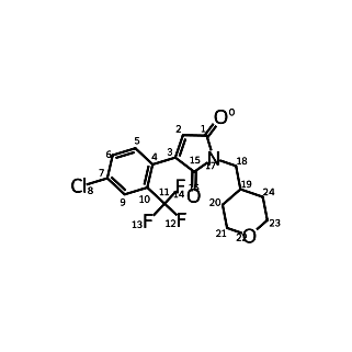 O=C1C=C(c2ccc(Cl)cc2C(F)(F)F)C(=O)N1CC1CCOCC1